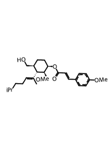 COc1ccc(/C=C/C(=O)O[C@@H]2CC[C@H](CO)[C@@H](/C(C)=C/CCC(C)C)[C@@H]2OC)cc1